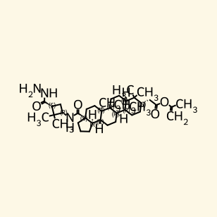 C=C(C)OC(=O)C[C@@H]1CC[C@]2(C)[C@H](CC[C@]3(C)[C@@H]2CC[C@@H]2[C@H]4CCC[C@]4(C(=O)N[C@@H]4C[C@H](C(=O)NN)C4(C)C)CC[C@]23C)C1(C)C